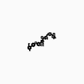 Cc1ccc(F)c(-c2ccc(Oc3ccnc(-c4cc(C(=O)NCCCN5CCC(C(=O)OC(C)(C)C)C5)c[nH]4)c3)cc2)c1